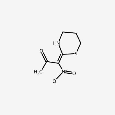 CC(=O)C(=C1NCCCS1)[N+](=O)[O-]